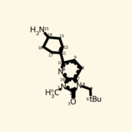 Cn1c(=O)n(CC(C)(C)C)c2ccc(C3=CCC(N)CC3)nc21